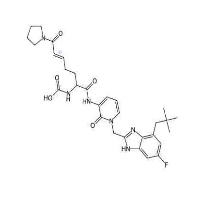 CC(C)(C)Cc1cc(F)cc2[nH]c(Cn3cccc(NC(=O)C(CC/C=C/C(=O)N4CCCC4)NC(=O)O)c3=O)nc12